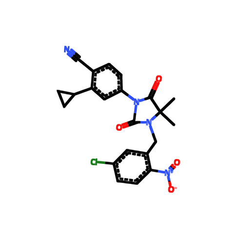 CC1(C)C(=O)N(c2ccc(C#N)c(C3CC3)c2)C(=O)N1Cc1cc(Cl)ccc1[N+](=O)[O-]